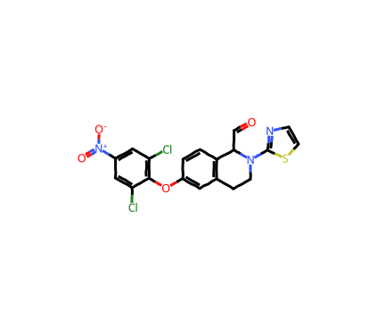 O=CC1c2ccc(Oc3c(Cl)cc([N+](=O)[O-])cc3Cl)cc2CCN1c1nccs1